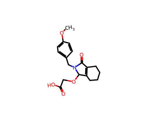 COc1ccc(CN2C(=O)C3=C(CCCC3)C2OCC(=O)O)cc1